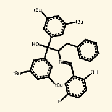 CC(C)(C)c1cc(C(C)(C)C)cc(C(O)(c2cc(C(C)(C)C)cc(C(C)(C)C)c2)C(Cc2ccccc2)N=Cc2cc(F)ccc2O)c1